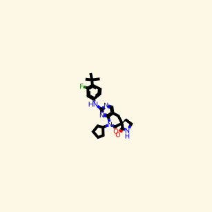 CC(C)(C)c1ccc(Nc2ncc3c(n2)N(C2CCCC2)C(=O)[C@]2(CCNC2=O)C3)cc1F